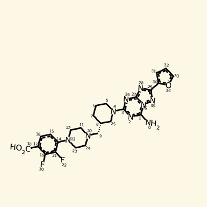 Nc1nc(N2CCC[C@@H](CN3CCN(c4ccc(C(=O)O)c(F)c4F)CC3)C2)nc2nc(-c3ccco3)nn12